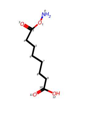 NOC(=O)CCCCCCC(=O)O